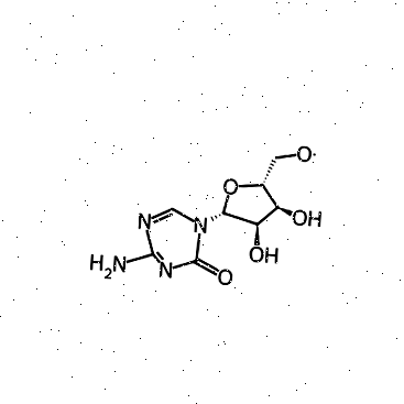 Nc1ncn([C@@H]2O[C@H](C[O])[C@@H](O)[C@H]2O)c(=O)n1